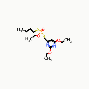 CCCCSP(=O)(OCC)SCc1cc(OCC)nc(OCC)n1